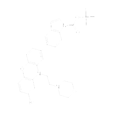 CC(C)(C)OC(=O)n1ccc2cc(-c3ccc4c(c3)N(CCN3CCOCC3)c3cc(Br)ccc3O4)ccc21